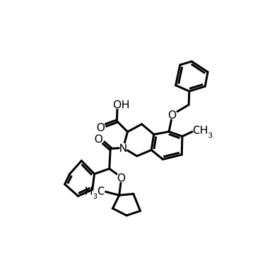 Cc1ccc2c(c1OCc1ccccc1)CC(C(=O)O)N(C(=O)C(OC1(C)CCCC1)c1ccccc1)C2